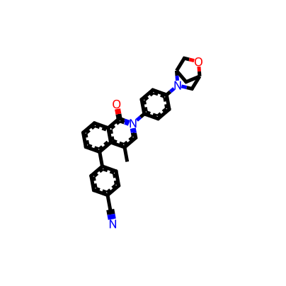 Cc1cn(-c2ccc(N3CC4CC3CO4)cc2)c(=O)c2cccc(-c3ccc(C#N)cc3)c12